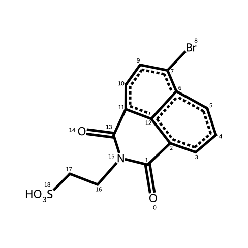 O=C1c2cccc3c(Br)ccc(c23)C(=O)N1CCS(=O)(=O)O